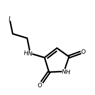 O=C1C=C(NCCI)C(=O)N1